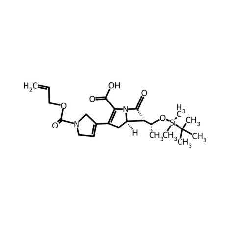 C=CCOC(=O)N1CC=C(C2=C(C(=O)O)N3C(=O)[C@H]([C@@H](C)O[Si](C)(C)C(C)(C)C)[C@H]3C2)C1